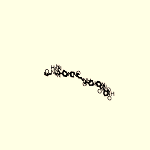 O=C1CCC(n2nnc3ccc(N4CCC(C(=O)NCCCC(=O)N5CCN(c6ccc(-c7ncc(NCc8ccco8)n8cnnc78)cc6)CC5)CC4)cc3c2=O)C(=O)N1